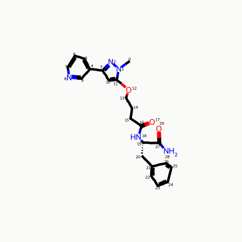 Cn1nc(-c2cccnc2)cc1OCCCC(=O)N[C@@H](Cc1ccccc1)C(N)=O